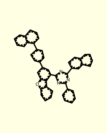 c1ccc(-c2nc(-c3ccc4ccccc4c3)nc(-c3cc(-c4ccc(-c5cccc6ccccc56)cc4)cc4oc5ccccc5c34)n2)cc1